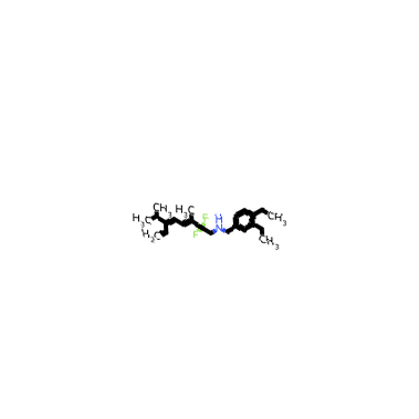 C=C/C(=C\C=C(/C)C(F)(F)CNCc1ccc(CC)c(CC)c1)C(C)C